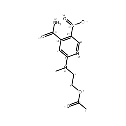 CC(=O)OCCN(C)c1cc(C(N)=O)c([N+](=O)[O-])cn1